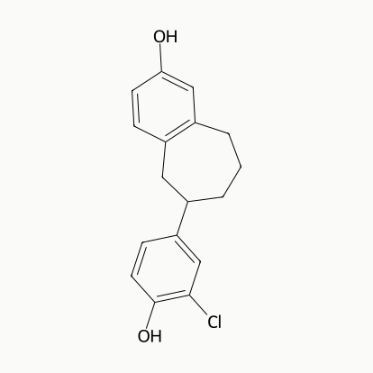 Oc1ccc2c(c1)CCCC(c1ccc(O)c(Cl)c1)C2